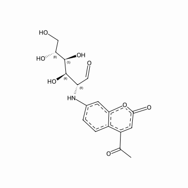 CC(=O)c1cc(=O)oc2cc(N[C@@H](C=O)[C@@H](O)[C@H](O)[C@H](O)CO)ccc12